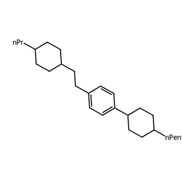 CCCCCC1CCC(c2ccc(CCC3CCC(CCC)CC3)cc2)CC1